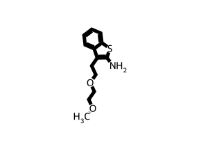 COCCOCCc1c(N)sc2ccccc12